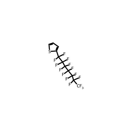 FC(F)(F)C(F)(F)C(F)(F)C(F)(F)C(F)(F)C(F)(F)C(F)(F)c1cccs1